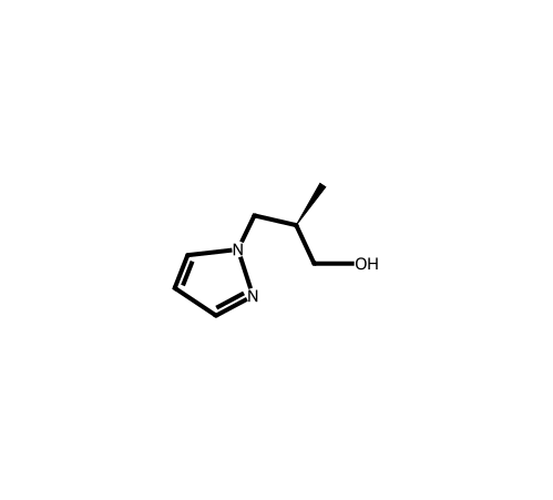 C[C@@H](CO)Cn1cccn1